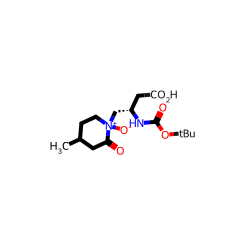 CC1CC[N+]([O-])(C[C@H](CC(=O)O)NC(=O)OC(C)(C)C)C(=O)C1